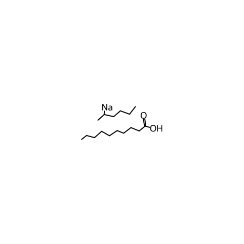 CCCCCCCCCC(=O)O.CCCC[CH](C)[Na]